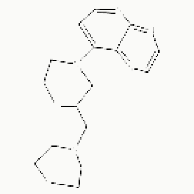 c1cnc2c(N3CCOC(CN4CCNCC4)C3)ccnc2n1